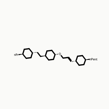 CCCCC[C@H]1CC[C@H](/C=C/CO[C@H]2CC[C@H](CC[C@H]3CC[C@H](CCC)CC3)CC2)CC1